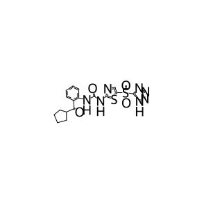 O=C(Nc1ncc(S(=O)(=O)c2nnn[nH]2)s1)Nc1ccccc1C(=O)C1CCCC1